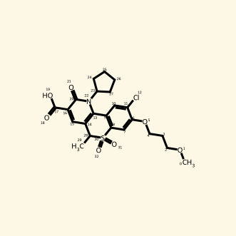 COCCCOc1cc2c(cc1Cl)-c1c(cc(C(=O)O)c(=O)n1C1CCCC1)C(C)S2(=O)=O